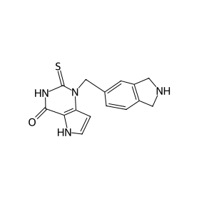 O=c1[nH]c(=S)n(Cc2ccc3c(c2)CNC3)c2cc[nH]c12